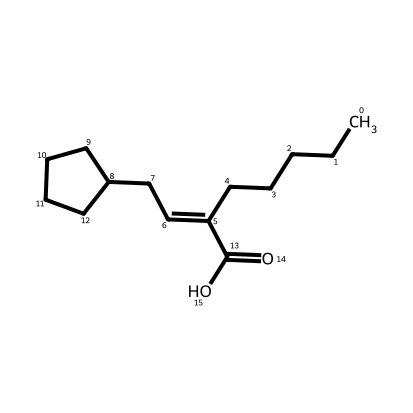 CCCCC/C(=C\CC1CCCC1)C(=O)O